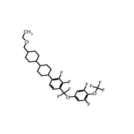 CCOCC1CCC(C2CCC(c3ccc(C(F)(F)Oc4cc(F)c(OC(F)(F)F)c(F)c4)c(F)c3F)CC2)CC1